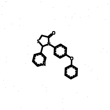 O=C1CSC(c2cccnc2)N1c1ccc(Oc2ccccc2)cc1